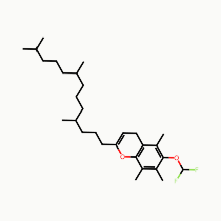 Cc1c(C)c2c(c(C)c1OC(F)F)CC=C(CCCC(C)CCCC(C)CCCC(C)C)O2